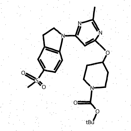 Cc1nc(OC2CCN(C(=O)OC(C)(C)C)CC2)cc(N2CCc3cc(S(C)(=O)=O)ccc32)n1